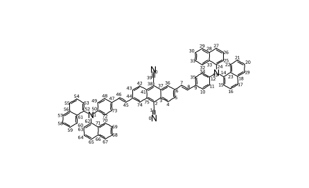 N#Cc1c2ccc(C=Cc3ccc(N(c4cccc5ccccc45)c4cccc5ccccc45)cc3)cc2c(C#N)c2ccc(C=Cc3ccc(N(c4cccc5ccccc45)c4cccc5ccccc45)cc3)cc12